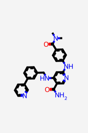 CN(C)C(=O)c1ccc(Nc2cc(NCc3cccc(-c4cccnc4)c3)c(C(N)=O)cn2)cc1